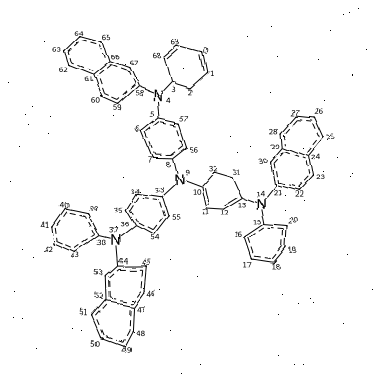 C1=CCC(N(c2ccc(N(C3=CC=C(N(c4ccccc4)c4ccc5ccccc5c4)CC3)c3ccc(N(c4ccccc4)c4ccc5ccccc5c4)cc3)cc2)c2ccc3ccccc3c2)C=C1